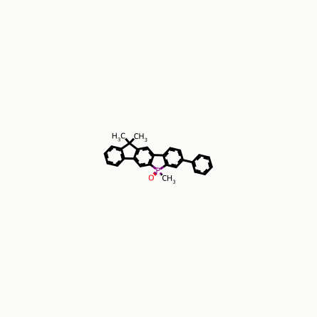 CC1(C)c2ccccc2-c2cc3c(cc21)-c1ccc(-c2ccccc2)cc1P3(C)=O